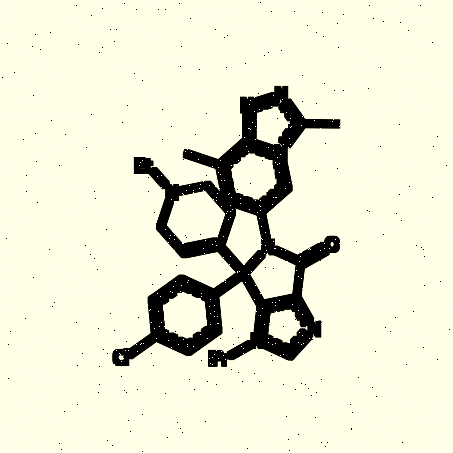 CCN1CC=C(C2(c3ccc(Cl)cc3)c3c(ncn3C(C)C)C(=O)N2c2cc(C)c3nnc(C)n3c2)CC1